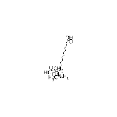 CC(C)C(CCCCCCCCCCCCC(=O)O)C(C)(C)C(=O)O